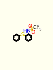 O=S(=O)(Nc1ccccc1Sc1ccccc1)C(F)(F)F